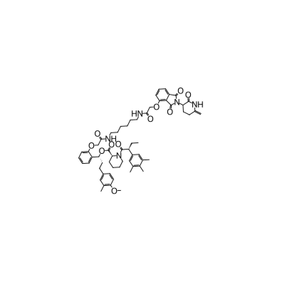 C=C1CCC(N2C(=O)c3cccc(OCC(=O)NCCCCCCNC(=O)COc4ccccc4[C@@H](CCc4ccc(OC)c(C)c4)OC(=O)[C@@H]4CCCCN4C(=O)[C@@H](CC)c4cc(C)c(C)c(C)c4)c3C2=O)C(=O)N1